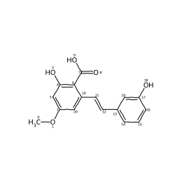 COc1cc(O)c(C(=O)O)c(C=Cc2cccc(O)c2)c1